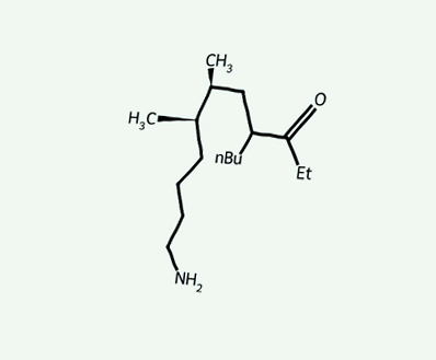 CCCCC(C[C@H](C)[C@H](C)CCCCN)C(=O)CC